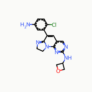 Nc1ccc(Cl)c(C2=Cc3cnc(NC4COC4)nc3N3CCN=C23)c1